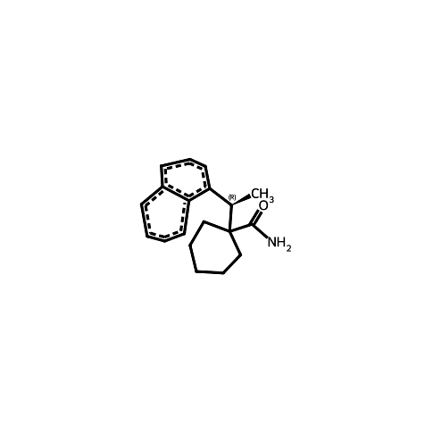 C[C@H](c1cccc2ccccc12)C1(C(N)=O)CCCCC1